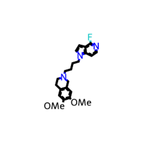 COc1cc2c(cc1OC)CN(CCCCn1ccc3c(F)nccc31)CC2